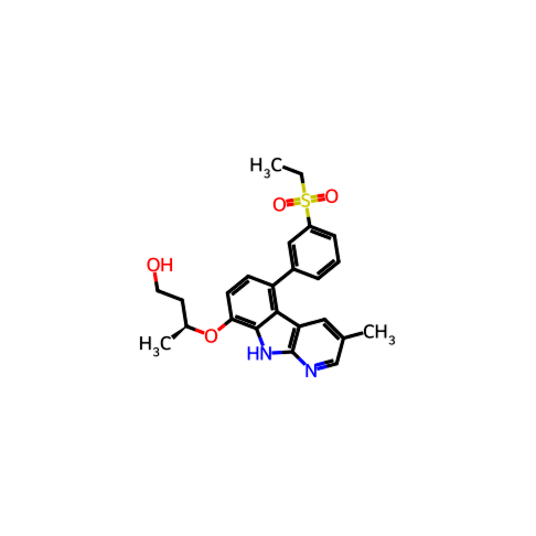 CCS(=O)(=O)c1cccc(-c2ccc(O[C@@H](C)CCO)c3[nH]c4ncc(C)cc4c23)c1